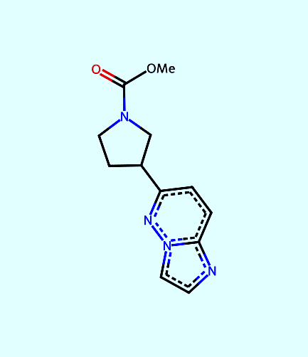 COC(=O)N1CCC(c2ccc3nccn3n2)C1